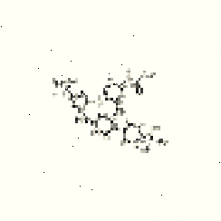 [2H]C([2H])([2H])n1cc(Nc2ncc(-c3ccc(C(F)(F)F)cc3)c(Nc3cc(NC(=O)C=C)ccc3F)n2)cn1